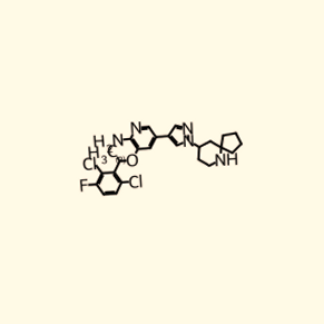 C[C@@H](Oc1cc(-c2cnn(C3CCNC4(CCCC4)C3)c2)cnc1N)c1c(Cl)ccc(F)c1Cl